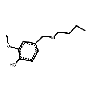 CCCCNCc1ccc(O)c(OC)c1